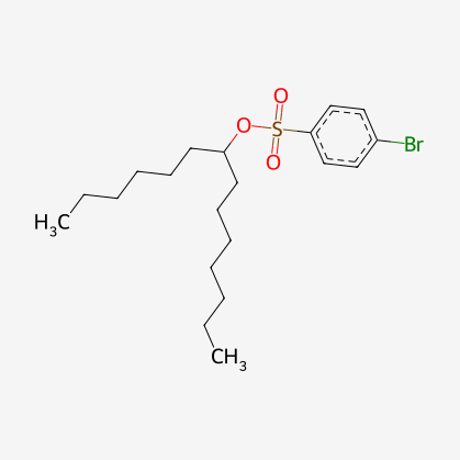 CCCCCCCC(CCCCCC)OS(=O)(=O)c1ccc(Br)cc1